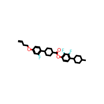 C=CCCOc1ccc(C2CCC(C(=O)Oc3ccc(C4CCC(C)CC4)c(F)c3F)CC2)c(F)c1